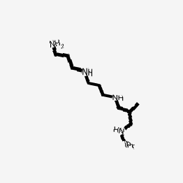 CC(CNCCCNCCCN)CNC(C)C